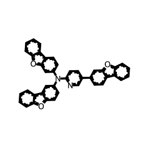 c1ccc2c(c1)oc1cc(-c3ccc(N(c4ccc5c(c4)oc4ccccc45)c4ccc5oc6ccccc6c5c4)nc3)ccc12